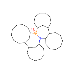 O=P12C3CCCCCCCC(C3)C3CCCCCCC(C3)N1C1CCCCCCCC1C1CCCCCCC2C1